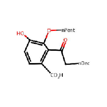 CCCCCCCCCCCC(=O)c1c(C(=O)O)ccc(O)c1OCCCCC